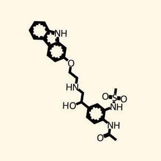 CC(=O)Nc1ccc(C(O)CNCCOc2ccc3c(c2)[nH]c2ccccc23)cc1NS(C)(=O)=O